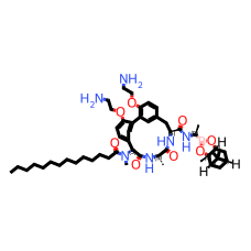 CCCCCCCCCCCCCC(=O)N(C)[C@@H]1C(=O)N[C@@H](C)C(=O)N[C@H](C(=O)N[C@@H](C)B2O[C@@H]3C[C@@H]4C[C@@H](C4(C)C)[C@]3(C)O2)Cc2ccc(OCCN)c(c2)-c2cc1ccc2OCCN